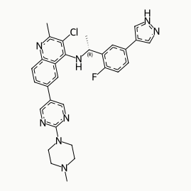 Cc1nc2ccc(-c3cnc(N4CCN(C)CC4)nc3)cc2c(N[C@H](C)c2cc(-c3cn[nH]c3)ccc2F)c1Cl